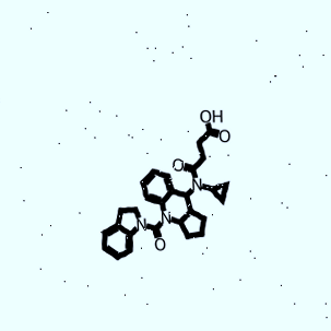 O=C(O)CCC(=O)N(C1CC1)C1c2ccccc2N(C(=O)N2CCc3ccccc32)C2CCCC21